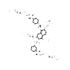 O=S(=O)(O)CNc1ccc2c(O)c(/N=N/c3cccc(S(=O)(=O)CCOSOOO)c3)c(SOOO)cc2c1/N=N/c1ccc(S(=O)(=O)CCOSOOO)cc1